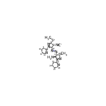 [C-]#[N+]c1c(SC)nn(-c2ccccn2)c1/N=N/c1c(C)nn(-c2ccccn2)c1N